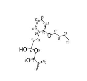 C=C(C)C(=O)OC(O)CCc1c[c]ccc1OCCCC